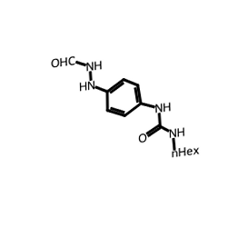 CCCCCCNC(=O)Nc1ccc(NNC=O)cc1